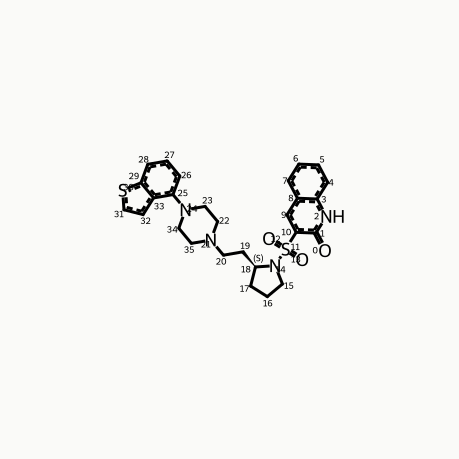 O=c1[nH]c2ccccc2cc1S(=O)(=O)N1CCC[C@H]1CCN1CCN(c2cccc3sccc23)CC1